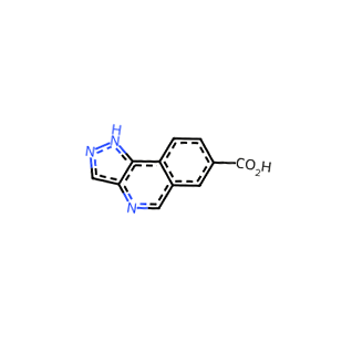 O=C(O)c1ccc2c(cnc3cn[nH]c32)c1